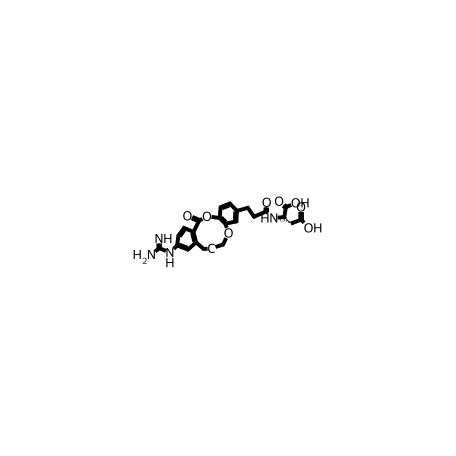 N=C(N)Nc1ccc2c(c1)CCCOc1cc(CCC(=O)N[C@@H](CC(=O)O)C(=O)O)ccc1OC2=O